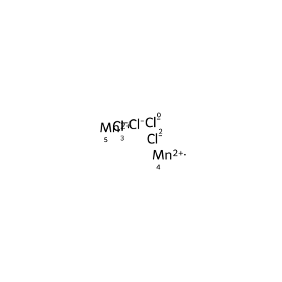 [Cl-].[Cl-].[Cl-].[Cl-].[Mn+2].[Mn+2]